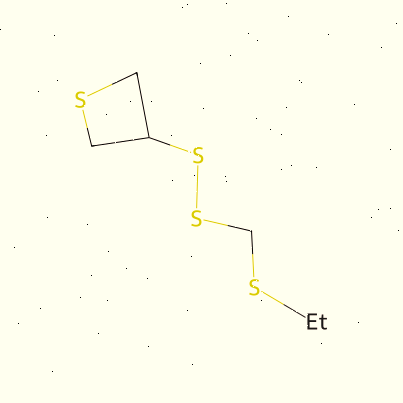 CCSCSSC1CSC1